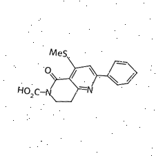 CSc1cc(-c2ccccc2)nc2c1C(=O)N(C(=O)O)CC2